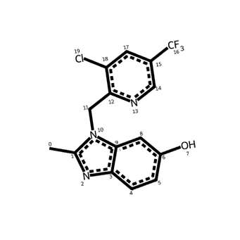 Cc1nc2ccc(O)cc2n1Cc1ncc(C(F)(F)F)cc1Cl